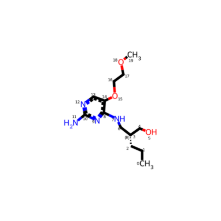 CCC[C@@H](CO)CNc1nc(N)ncc1OCCOC